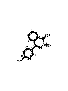 O=C1c2ccccc2C(c2ccc(F)nc2)=N[N+]1=O